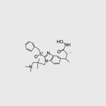 CC(c1ccc2c(c1)nc([S+]([O-])Cc1ccccc1)n2CC(C)(C)CN(C)C)[C@@H](C)C(=O)NO